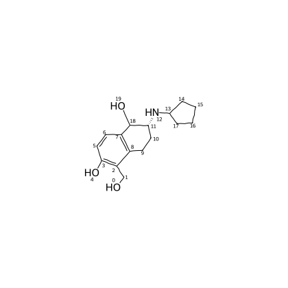 OCc1c(O)ccc2c1CC[C@@H](NC1CCCC1)C2O